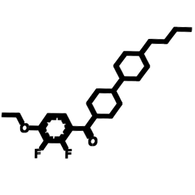 CCCCC1CCC(C2CCC(C(=O)c3ccc(OCC)c(F)c3F)CC2)CC1